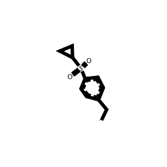 [CH2]Cc1ccc(S(=O)(=O)C2CC2)cc1